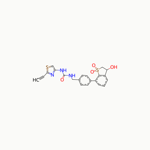 C#Cc1nc(NC(=O)NCc2ccc(-c3cccc4c3S(=O)(=O)CC4O)cc2)cs1